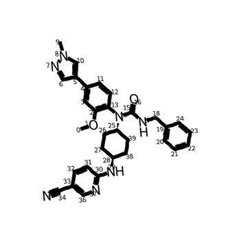 COc1cc(-c2cnn(C)c2)ccc1N(C(=O)NCc1ccccc1)[C@H]1CC[C@H](Nc2ccc(C#N)cn2)CC1